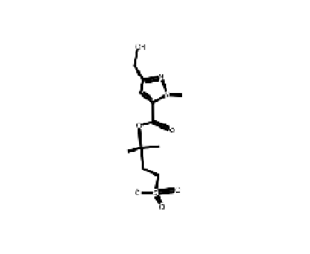 Cn1nc(CO)cc1C(=O)OC(C)(C)CCS(=O)(=O)Cl